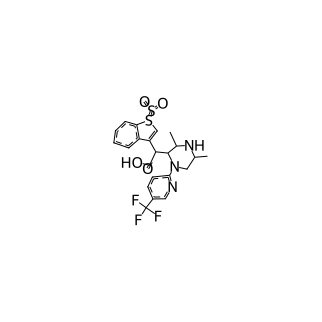 CC1CN(c2ccc(C(F)(F)F)cn2)C(C(C(=O)O)C2=CS(=S(=O)=O)c3ccccc32)C(C)N1